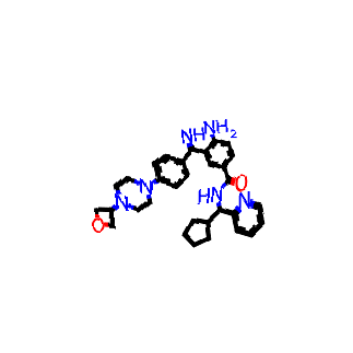 N=C(c1ccc(N2CCN(C3COC3)CC2)cc1)c1cc(C(=O)NC(c2ccccn2)C2CCCC2)ccc1N